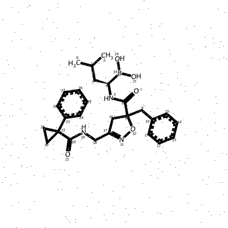 CC(C)C[C@H](NC(=O)C1(Cc2ccccc2)CC(CNC(=O)C2(c3ccccc3)CC2)=NO1)B(O)O